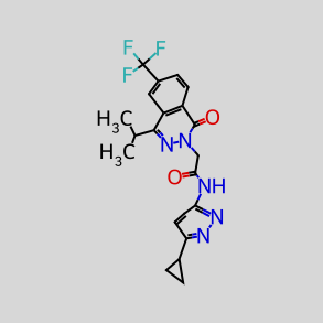 CC(C)c1nn(CC(=O)Nc2ccc(C3CC3)nn2)c(=O)c2ccc(C(F)(F)F)cc12